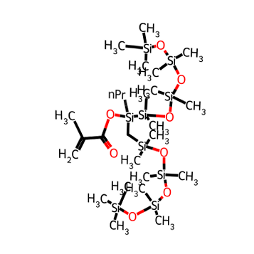 C=C(C)C(=O)O[Si](CCC)(C[Si](C)(C)O[Si](C)(C)O[Si](C)(C)O[Si](C)(C)C)[Si](C)(C)O[Si](C)(C)O[Si](C)(C)O[Si](C)(C)C